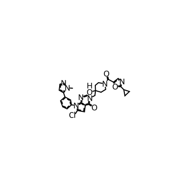 Cn1nccc1-c1cccc(-n2c(Cl)cc3c(=O)n(CC4(O)CCN(C(=O)c5cnc(C6CC6)o5)CC4)cnc32)c1